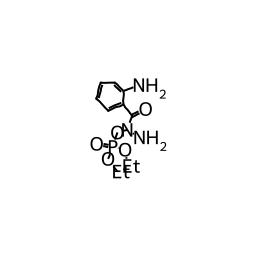 CCOP(=O)(OCC)ON(N)C(=O)c1ccccc1N